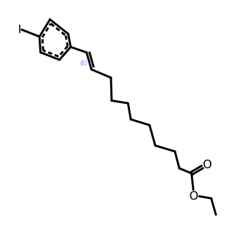 CCOC(=O)CCCCCCCC/C=C/c1ccc(I)cc1